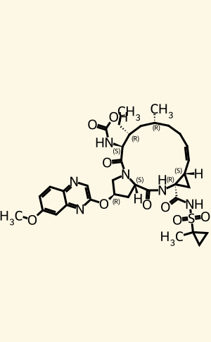 CC[C@@H]1C[C@H](C)CCC=C[C@@H]2C[C@@]2(C(=O)NS(=O)(=O)C2(C)CC2)NC(=O)[C@@H]2C[C@@H](Oc3cnc4ccc(OC)cc4n3)CN2C(=O)[C@H]1NC(=O)O